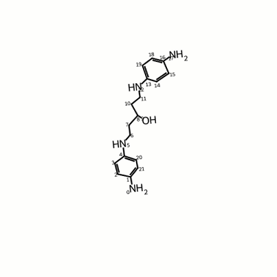 Nc1ccc(NCCC(O)CCNc2ccc(N)cc2)cc1